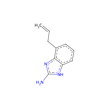 C=CCc1cccc2[nH]c(N)nc12